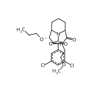 CCCO[C@H]1CN(CCOC)C(=O)C2CCCC1N2S(=O)(=O)c1cc(Cl)cc(Cl)c1